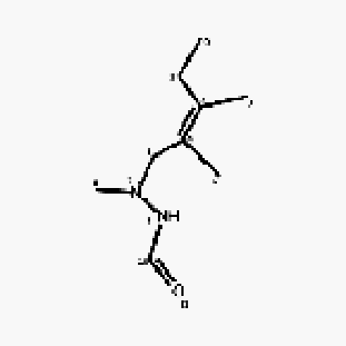 CC/C(C)=C(/C)CN(C)NC=O